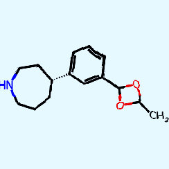 CC1OC(c2cccc([C@@H]3CCCNCC3)c2)O1